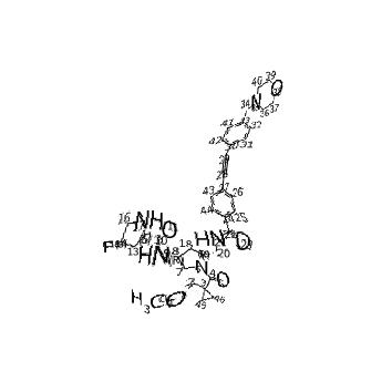 COCC1(C(=O)N2C[C@H](NC(=O)[C@@H]3C[C@H](F)CN3)C[C@@H]2CNC(=O)c2ccc(C#Cc3ccc(CN4CCOCC4)cc3)cc2)CC1